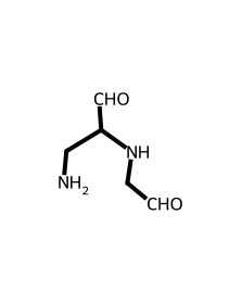 NCC(C=O)NCC=O